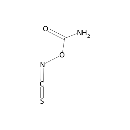 NC(=O)ON=C=S